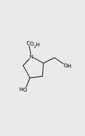 O=C(O)N1CC(O)CC1CO